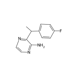 CC(c1ccc(F)cc1)c1nccnc1N